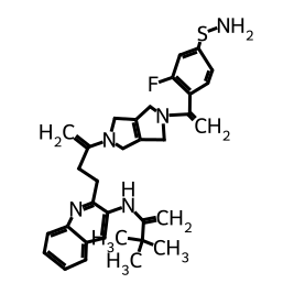 C=C(CCc1nc2ccccc2cc1NC(=C)C(C)(C)C)N1CC2=C(C1)CN(C(=C)c1ccc(SN)cc1F)C2